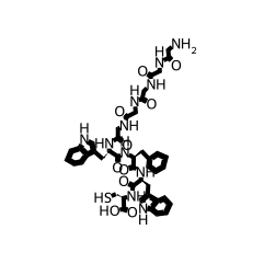 NCC(=O)NCC(=O)NCC(=O)NCC(=O)NCC(=O)N[C@@H](Cc1c[nH]c2ccccc12)C(=O)N[C@@H](Cc1ccccc1)C(=O)N[C@@H](Cc1c[nH]c2ccccc12)C(=O)N[C@@H](CS)C(=O)O